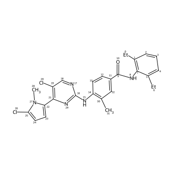 CCc1cccc(CC)c1NC(=O)c1ccc(Nc2ncc(Cl)c(-c3ccc(Cl)n3C)n2)c(C)c1